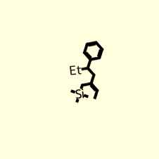 C/C=C(/CC(CC)c1ccccc1)C[Si](C)(C)C